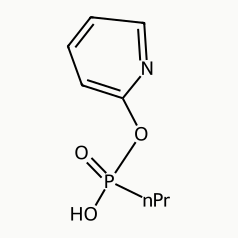 CCCP(=O)(O)Oc1ccccn1